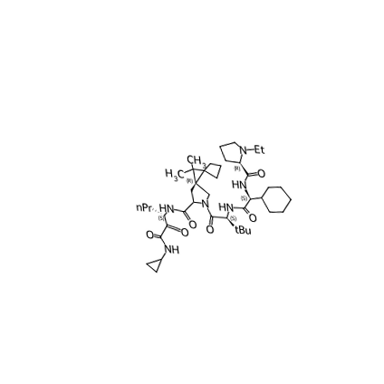 CCC[C@H](NC(=O)C1C[C@@]2(CN1C(=O)[C@@H](NC(=O)[C@@H](NC(=O)[C@H]1CCCN1CC)C1CCCCC1)C(C)(C)C)C(C)(C)C21CCC1)C(=O)C(=O)NC1CC1